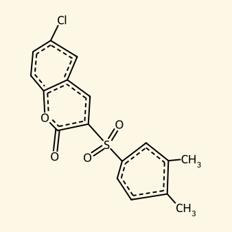 Cc1ccc(S(=O)(=O)c2cc3cc(Cl)ccc3oc2=O)cc1C